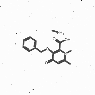 CN.Cc1cc(=O)c(OCc2ccccc2)c(C(=O)O)n1C